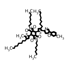 CCCCCCCCc1cc(-c2c3c(=O)n(CCCCCCCC)c(=O)c3c(-c3cc(CCCCCCCC)c(-c4cc5oc6cc(C)ccc6c5cn4)s3)c3c(=O)n(CCCCCCCC)c(=O)c23)sc1C